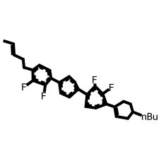 C/C=C/CCc1ccc(-c2ccc(-c3ccc(C4=CCC(CCCC)CC4)c(F)c3F)cc2)c(F)c1F